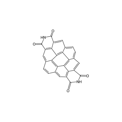 O=c1[nH]c(=O)c2cc3ccc4cc5c(=O)[nH]c(=O)c6cc7ccc8cc1c2c1c8c7c(c65)c4c31